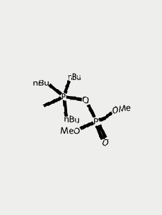 CCCCP(C)(CCCC)(CCCC)OP(=O)(OC)OC